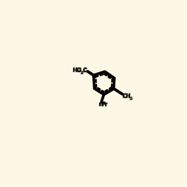 CCCc1cc(C(=O)O)ccc1C